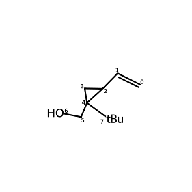 C=CC1CC1(CO)C(C)(C)C